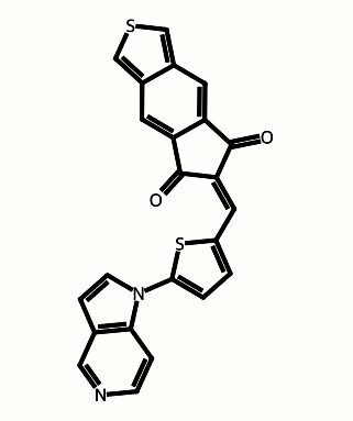 O=C1C(=Cc2ccc(-n3ccc4cnccc43)s2)C(=O)c2cc3cscc3cc21